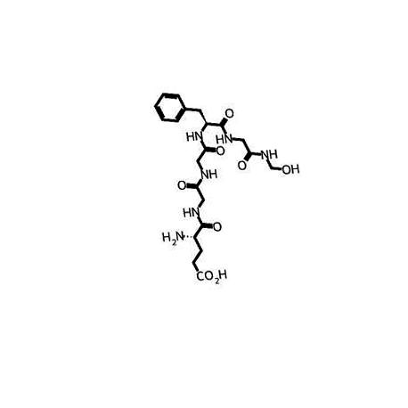 N[C@@H](CCC(=O)O)C(=O)NCC(=O)NCC(=O)N[C@@H](Cc1ccccc1)C(=O)NCC(=O)NCO